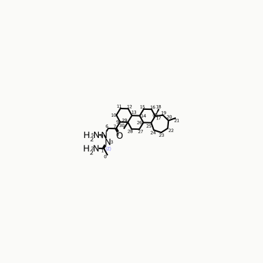 C/C(N)=N/N(N)CC(=O)C1CCCC2C3CC[C@]4(C)CC(C)CCCC4C3CCC12C